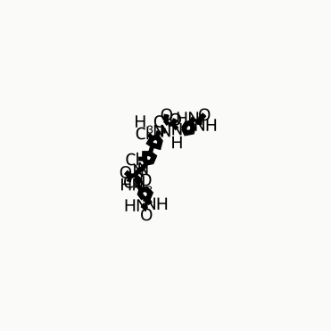 CC(=O)C(/N=N/c1ccc(-c2ccc(/N=N/C(C(C)=O)C(=O)Nc3ccc4[nH]c(=O)[nH]c4c3)c(Cl)c2)cc1Cl)C(=O)Nc1ccc2[nH]c(=O)[nH]c2c1